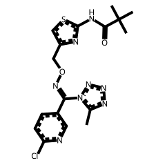 Cc1nnnn1C(=NOCc1csc(NC(=O)C(C)(C)C)n1)c1ccc(Cl)nc1